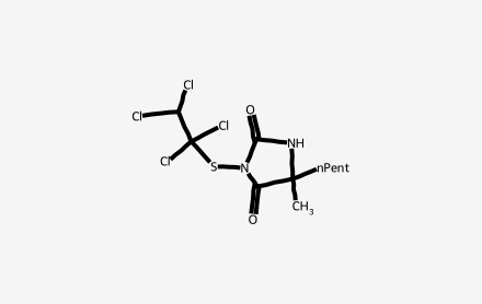 CCCCCC1(C)NC(=O)N(SC(Cl)(Cl)C(Cl)Cl)C1=O